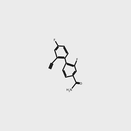 C#Cc1cc(F)ccc1-c1ccc(C(N)=O)cc1F